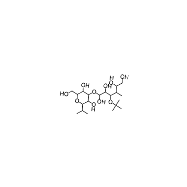 CC(C)C1OC(CO)C(O)C(OC(O)C(O)C(OC(C)(C)C)C(C)C(O)CO)C1O